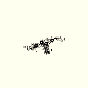 Cc1c(COc2ccc(CNC(C)(C)C(=O)O)cc2Br)cccc1-c1cccc(COc2ccc(CNC(C)(C)C(=O)O)cc2Br)c1C.O=C(O)C(F)(F)F.O=C(O)C(F)(F)F